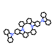 c1ccc2c(c1)c1ccccc1n2-c1ccc2c(c1)c1cccc3c4ccccc4n4c5ccc(-n6c7ccccc7c7ccccc76)cc5c5cccc(c6ccccc6n2c31)c54